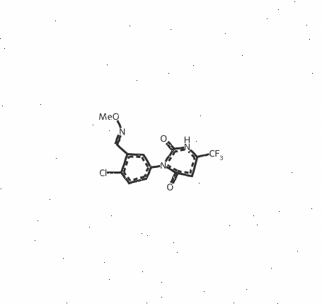 CON=Cc1cc(-n2c(=O)cc(C(F)(F)F)[nH]c2=O)ccc1Cl